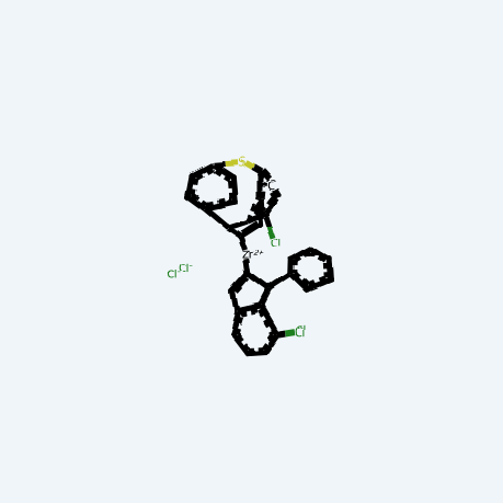 Clc1cccc2c1C(c1ccccc1)[C]([Zr+2][C]1=Cc3c4ccc(Cl)c3C1c1ccc(cc1)S4)=C2.[Cl-].[Cl-]